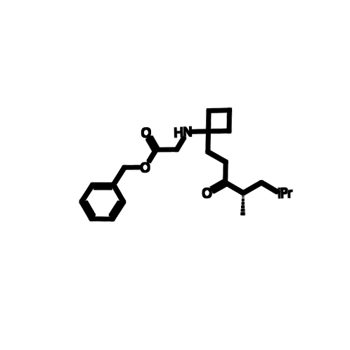 CC(C)C[C@H](C)C(=O)CCC1(NCC(=O)OCc2ccccc2)CCC1